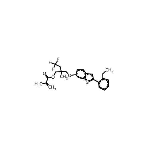 C=C(C)C(=O)OCC(C)(COc1ccc2cc(-c3ccccc3CC)sc2c1)CC(F)(F)F